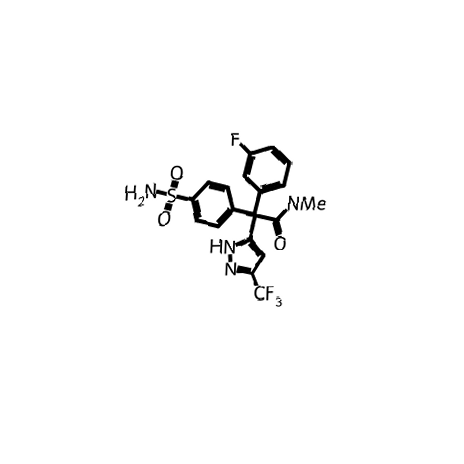 CNC(=O)C(c1ccc(S(N)(=O)=O)cc1)(c1cccc(F)c1)c1cc(C(F)(F)F)n[nH]1